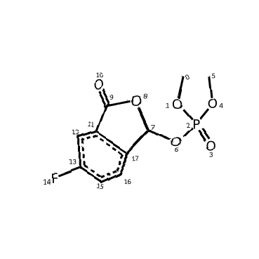 COP(=O)(OC)OC1OC(=O)c2cc(F)ccc21